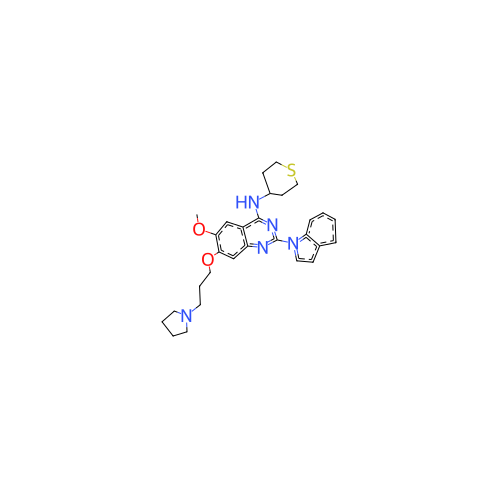 COc1cc2c(NC3CCSCC3)nc(-n3ccc4ccccc43)nc2cc1OCCCN1CCCC1